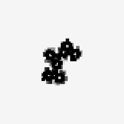 c1cnc2c(c1)-c1cccc3nc(-n4c5ccccc5c5cc(-n6c7ccccc7c7ccccc76)ccc54)cc-2c13